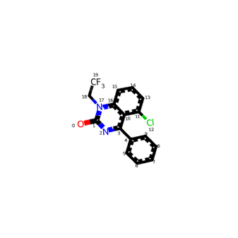 O=c1nc(-c2ccccc2)c2c(Cl)cccc2n1CC(F)(F)F